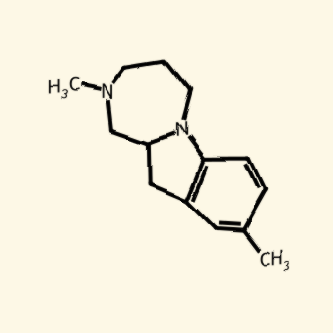 Cc1ccc2c(c1)CC1CN(C)CCCN21